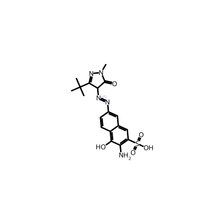 CN1N=C(C(C)(C)C)C(/N=N/c2ccc3c(O)c(N)c(S(=O)(=O)O)cc3c2)C1=O